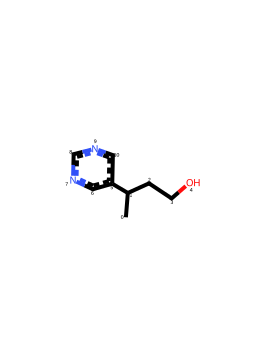 CC(CCO)c1cncnc1